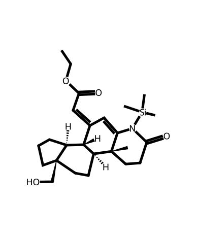 CCOC(=O)C=C1C=C2N([Si](C)(C)C)C(=O)CC[C@]2(C)[C@H]2CC[C@]3(CO)CCC[C@H]3[C@H]12